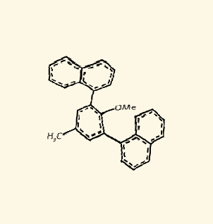 COc1c(-c2cccc3ccccc23)cc(C)cc1-c1cccc2ccccc12